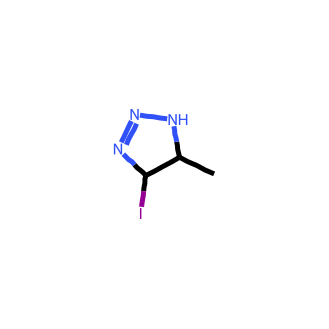 CC1NN=NC1I